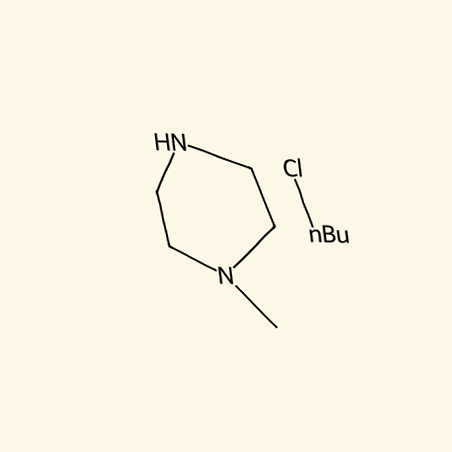 CCCCCl.CN1CCNCC1